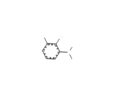 CCCN(CCC)c1cccc(C(C)=O)c1N